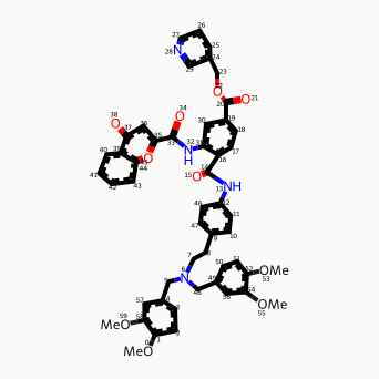 COc1ccc(CN(CCc2ccc(NC(=O)c3ccc(C(=O)OCc4cccnc4)cc3NC(=O)c3cc(=O)c4ccccc4o3)cc2)Cc2ccc(OC)c(OC)c2)cc1OC